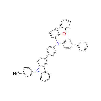 N#Cc1ccc(-n2c3ccccc3c3cc(-c4ccc(N(c5ccc(-c6ccccc6)cc5)c5cccc6c5oc5ccccc56)cc4)ccc32)cc1